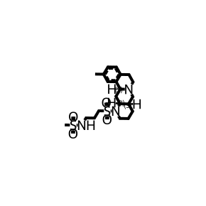 Cc1ccc2c(c1)[C@@H]1C[C@@H]3[C@@H](CCCN3S(=O)(=O)CCCNS(C)(=O)=O)CN1CC2